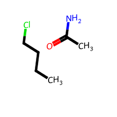 CC(N)=O.CCCCCl